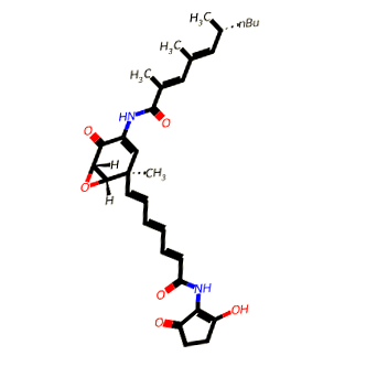 CCCC[C@@H](C)/C=C(C)/C=C(\C)C(=O)NC1=C[C@@](C)(/C=C/C=C/C=C/C(=O)NC2=C(O)CCC2=O)[C@@H]2O[C@@H]2C1=O